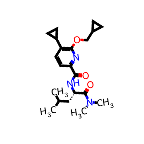 CC(C)C[C@H](NC(=O)c1ccc(C2CC2)c(OCC2CC2)n1)C(=O)N(C)C